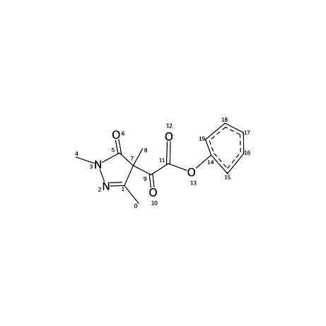 CC1=NN(C)C(=O)C1(C)C(=O)C(=O)Oc1ccccc1